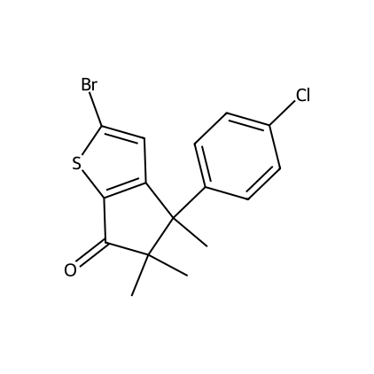 CC1(C)C(=O)c2sc(Br)cc2C1(C)c1ccc(Cl)cc1